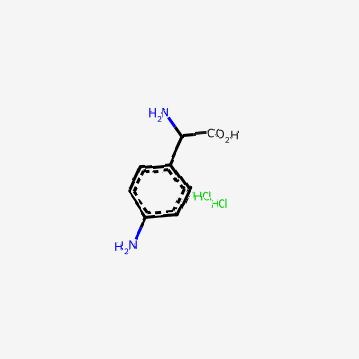 Cl.Cl.Nc1ccc(C(N)C(=O)O)cc1